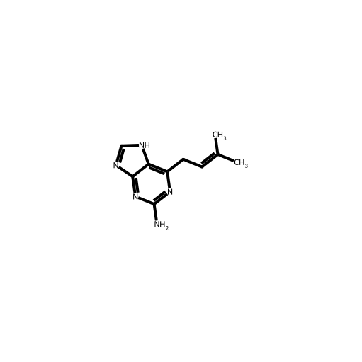 CC(C)=CCc1nc(N)nc2nc[nH]c12